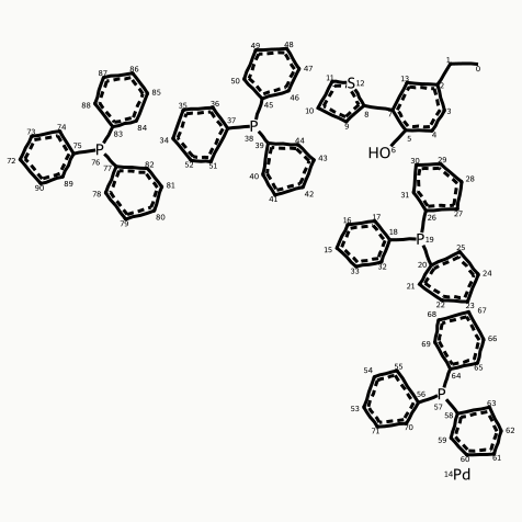 CCc1ccc(O)c(-c2cccs2)c1.[Pd].c1ccc(P(c2ccccc2)c2ccccc2)cc1.c1ccc(P(c2ccccc2)c2ccccc2)cc1.c1ccc(P(c2ccccc2)c2ccccc2)cc1.c1ccc(P(c2ccccc2)c2ccccc2)cc1